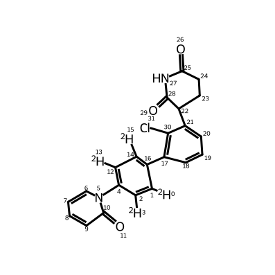 [2H]c1c([2H])c(-n2ccccc2=O)c([2H])c([2H])c1-c1cccc(C2CCC(=O)NC2=O)c1Cl